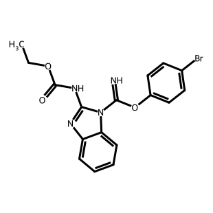 CCOC(=O)Nc1nc2ccccc2n1C(=N)Oc1ccc(Br)cc1